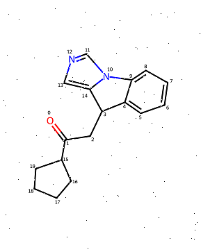 O=C(CC1c2ccccc2-n2cncc21)C1CCCC1